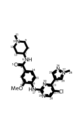 COc1cc(C(=O)NC2CCN(C)CC2)ccc1Nc1ncc(Cl)c(-c2cnn(C)c2)n1